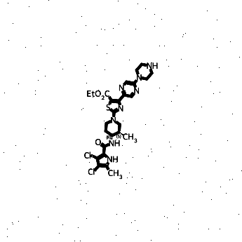 CCOC(=O)c1sc(N2CC[C@@H](NC(=O)c3[nH]c(C)c(Cl)c3Cl)[C@@H](C)C2)nc1-c1cnc(N2CCNCC2)cn1